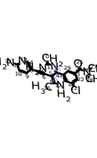 C=C(N)/N=C(\C(C#Cc1ccc(N)nc1)=C(\C)N)c1cc(Cl)cc(C(=O)N(C)C)c1